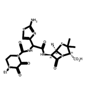 CCN1CCN(C(=O)NC(C(=O)N[C@@H]2C(=O)N3[C@@H]2SC(C)(C)[C@@H]3C(=O)O)c2csc(N)n2)C(=O)C1=O